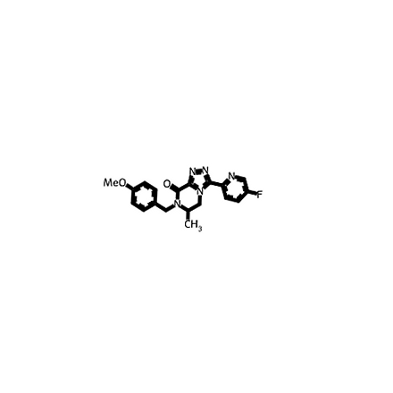 COc1ccc(CN2C(=O)c3nnc(-c4ccc(F)cn4)n3CC2C)cc1